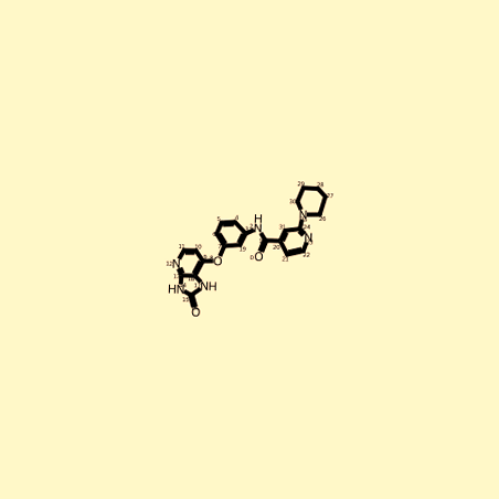 O=C(Nc1cccc(Oc2ccnc3[nH]c(=O)[nH]c23)c1)c1ccnc(N2CCCCC2)c1